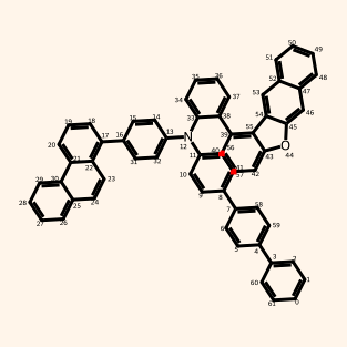 c1ccc(-c2ccc(-c3ccc(N(c4ccc(-c5cccc6c5ccc5ccccc56)cc4)c4ccccc4-c4cccc5oc6cc7ccccc7cc6c45)cc3)cc2)cc1